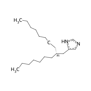 CCCCCCCC[C@@H](CCCCCCC)Cc1cnc[nH]1